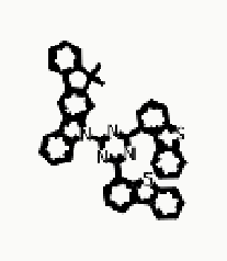 CC1(C)c2ccccc2-c2cc3c4ccccc4n(-c4nc(-c5cccc6c5sc5ccccc56)nc(-c5cccc6sc7ccccc7c56)n4)c3cc21